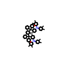 Cc1ccc(N(c2ccc(C)c(C)c2)c2ccc3c(c2)C(c2ccccc2)(c2ccccc2)c2cccc4c2B3c2ccc(N(c3ccc(C)c(C)c3)c3ccc(C)c(C)c3)cc2C4(c2ccccc2)c2ccccc2)cc1C